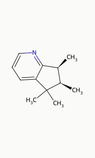 C[C@@H]1c2ncccc2C(C)(C)[C@@H]1C